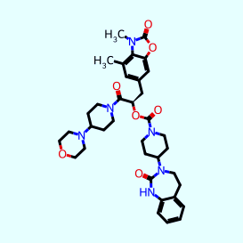 Cc1cc(C[C@@H](OC(=O)N2CCC(N3CCc4ccccc4NC3=O)CC2)C(=O)N2CCC(N3CCOCC3)CC2)cc2oc(=O)n(C)c12